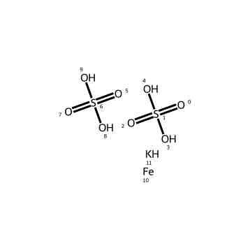 O=S(=O)(O)O.O=S(=O)(O)O.[Fe].[KH]